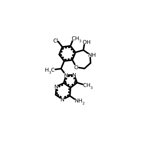 Cc1c(Cl)cc(C(C)n2nc(C)c3c(N)ncnc32)c2c1C(O)NCCO2